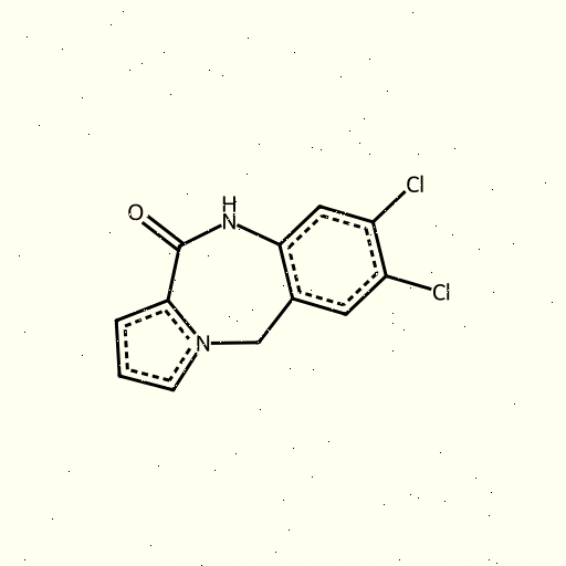 O=C1Nc2cc(Cl)c(Cl)cc2Cn2cccc21